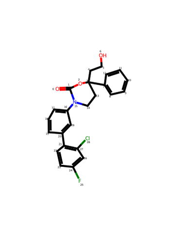 O=C1OC(CCO)(c2ccccc2)CCN1c1cccc(-c2ccc(F)cc2Cl)c1